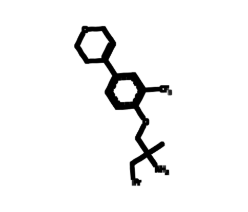 CC(C)CC(C)(N)COc1ccc(C2=CCOCC2)cc1C(F)(F)F